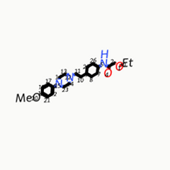 CCOCC(=O)NC1CCC(CCN2CCN(c3ccc(OC)cc3)CC2)CC1